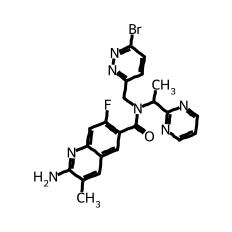 Cc1cc2cc(C(=O)N(Cc3ccc(Br)nn3)C(C)c3ncccn3)c(F)cc2nc1N